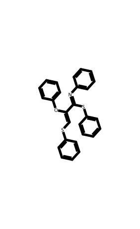 C(/Sc1ccccc1)=C(Oc1ccccc1)\C(=N\c1ccccc1)Sc1ccccc1